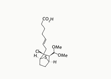 COC(OC)[C@H]1[C@H]2CC[C@H](S2)[C@]1(Cl)C/C=C/CCCC(=O)O